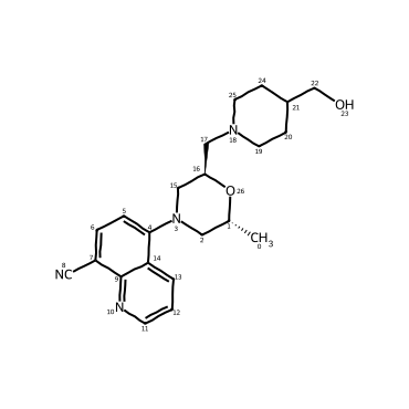 C[C@@H]1CN(c2ccc(C#N)c3ncccc23)C[C@@H](CN2CCC(CO)CC2)O1